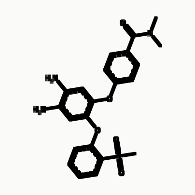 CN(C)C(=O)c1ccc(Oc2cc(N)c(N)cc2Oc2ccccc2S(C)(=O)=O)cc1